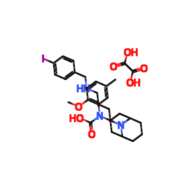 COc1ccc(C)cc1N(C(=O)O)C1CC2CCCC(C1)N2CCCCNCc1ccc(I)cc1.O=C(O)C(=O)O